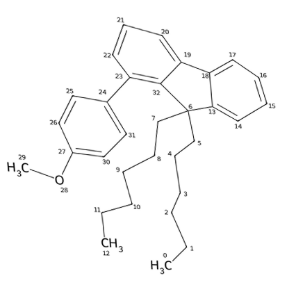 CCCCCCC1(CCCCCC)c2ccccc2-c2cccc(-c3ccc(OC)cc3)c21